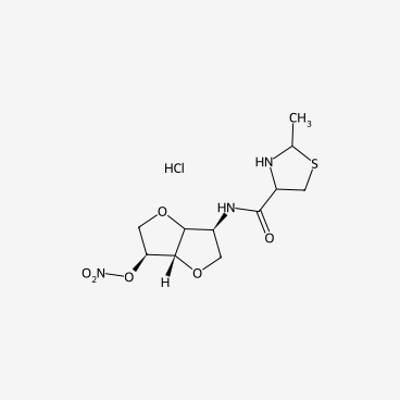 CC1NC(C(=O)N[C@H]2CO[C@H]3C2OC[C@@H]3O[N+](=O)[O-])CS1.Cl